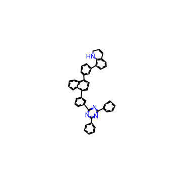 C1=Cc2cccc(-c3cccc(-c4ccc(-c5cccc(-c6nc(-c7ccccc7)nc(-c7ccccc7)n6)c5)c5ccccc45)c3)c2NC1